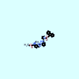 CCOC(=O)c1nn(C)c2c1CCc1cnc(Nc3ccccc3NC[C@@H]3CCCN3C(=O)OCC3c4ccccc4-c4ccccc43)nc1-2